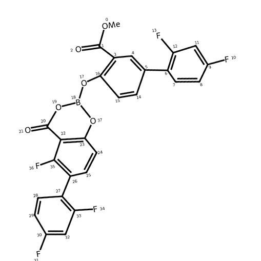 COC(=O)c1cc(-c2ccc(F)cc2F)ccc1OB1OC(=O)c2c(ccc(-c3ccc(F)cc3F)c2F)O1